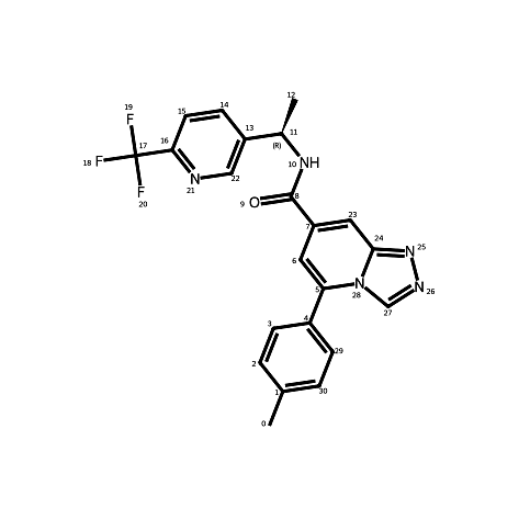 Cc1ccc(-c2cc(C(=O)N[C@H](C)c3ccc(C(F)(F)F)nc3)cc3nncn23)cc1